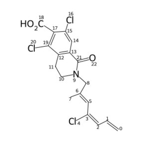 C=C/C=C(Cl)\C=C(/C)CN1CCc2c(cc(Cl)c(C(=O)O)c2Cl)C1=O